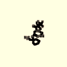 CCC1(OC(=O)COC(=O)C(F)(SOOO)C(F)(F)F)CCCCC1